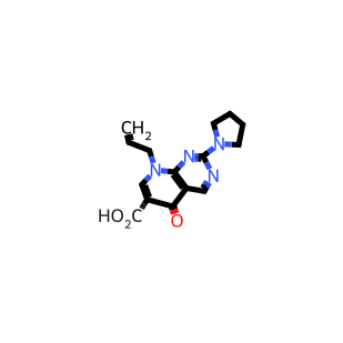 C=CCn1cc(C(=O)O)c(=O)c2cnc(N3CCCC3)nc21